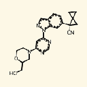 N#C[C@@]1(c2ccc3cnn(-c4cc(N5CCOC(CO)C5)ncn4)c3c2)CC12CC2